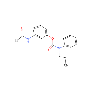 CCC(=O)Nc1cccc(OC(=O)N(CCC#N)c2ccccc2)c1